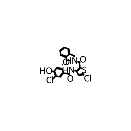 COc1ccccc1CNC(=O)c1sc(Cl)cc1NC(=O)c1ccc(O)c(Cl)c1